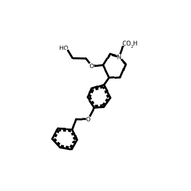 O=C(O)N1CCC(c2ccc(OCc3ccccc3)cc2)C(OCCO)C1